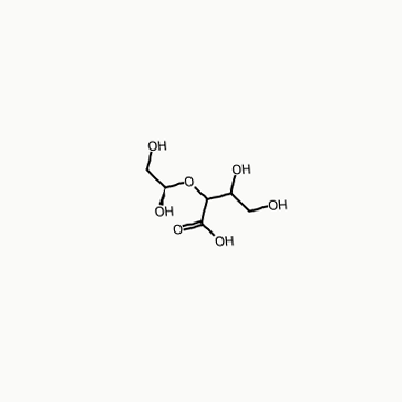 O=C(O)C(O[C@@H](O)CO)C(O)CO